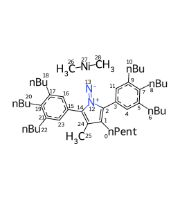 CCCCCC1=C(c2cc(CCCC)c(CCCC)c(CCCC)c2)[N+](=[N-])C(c2cc(CCCC)c(CCCC)c(CCCC)c2)=C1C.[CH3][Ni][CH3]